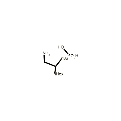 CCCCCCC(CN)CCCC.O=S(=O)(O)O